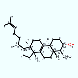 CC(C)=CCC[C@@H](C)[C@H]1CC[C@H]2C3=C(CC[C@]12C)[C@@]1(C)CC[C@H](O)[C@@H](C=O)[C@@H]1CC3